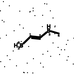 B/C=C/BC